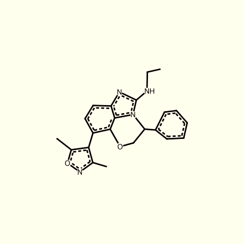 CCNc1nc2ccc(-c3c(C)noc3C)c3c2n1C(c1ccccc1)CO3